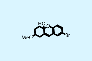 COC1CCC2(O)Oc3ccc(Br)cc3C=C2C1